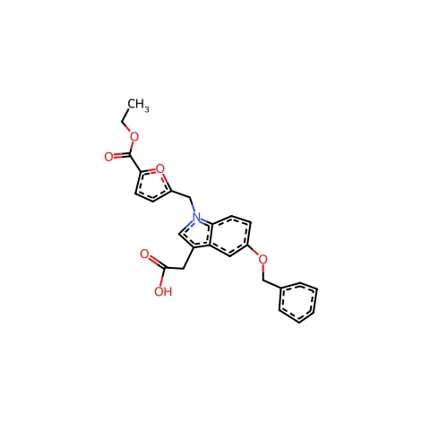 CCOC(=O)c1ccc(Cn2cc(CC(=O)O)c3cc(OCc4ccccc4)ccc32)o1